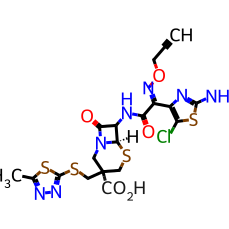 C#CCON=C(C(=O)NC1C(=O)N2CC(CSc3nnc(C)s3)(C(=O)O)CS[C@H]12)c1nc(N)sc1Cl